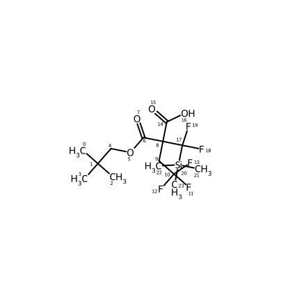 CC(C)(C)COC(=O)C(CC(F)(F)F)(C(=O)O)C(F)(F)[Si](C)(C)C